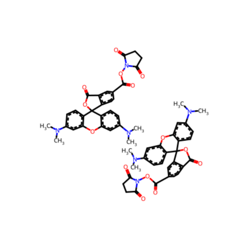 CN(C)c1ccc2c(c1)Oc1cc(N(C)C)ccc1C21OC(=O)c2cc(C(=O)ON3C(=O)CCC3=O)ccc21.CN(C)c1ccc2c(c1)Oc1cc(N(C)C)ccc1C21OC(=O)c2ccc(C(=O)ON3C(=O)CCC3=O)cc21